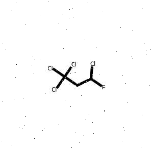 FC(Cl)CC(Cl)(Cl)Cl